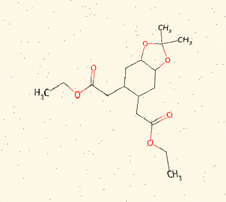 CCOC(=O)CC1CC2OC(C)(C)OC2CC1CC(=O)OCC